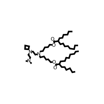 CCCCCCCCC(CCCCCC)C(=O)OCCCCCN(CCCCCOC(=O)C(CCCCCC)CCCCCCCC)CCN(CCN(C)C)C1CCC1